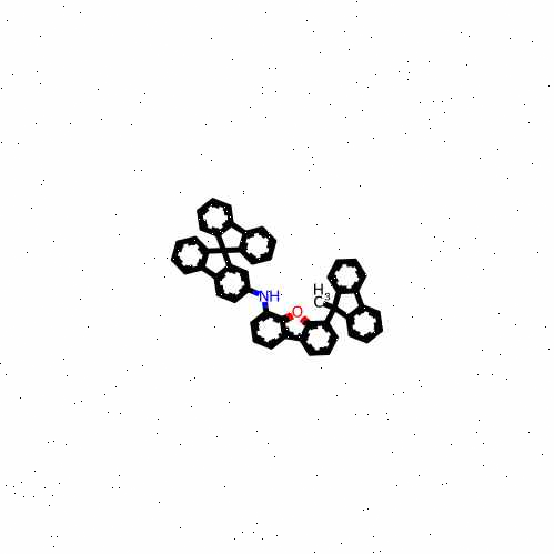 CC1(c2cccc3c2oc2c(Nc4ccc5c(c4)C4(c6ccccc6-c6ccccc64)c4ccccc4-5)cccc23)c2ccccc2-c2ccccc21